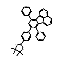 CC1(C)OB(c2ccc(-c3cc(-c4ccccc4)c4c(c3-c3ccccc3)-c3cccc5cccc-4c35)cc2)OC1(C)C